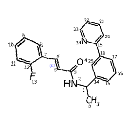 CC(NC(=O)/C=C/c1ccccc1F)c1cccc(-c2ccccn2)c1